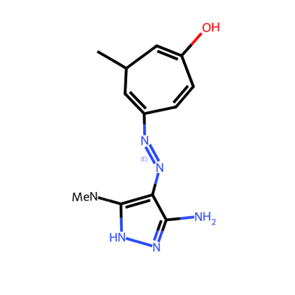 CNc1[nH]nc(N)c1/N=N/C1=CC(C)C=C(O)C=C1